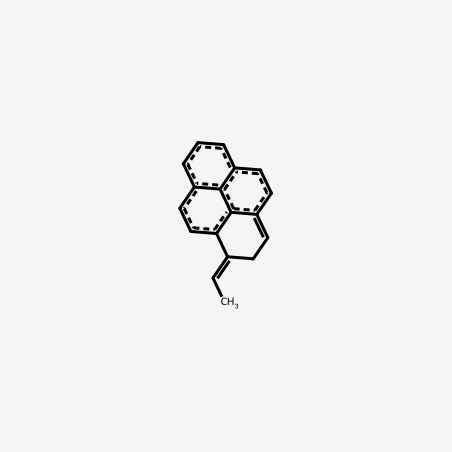 CC=C1CC=c2ccc3cccc4ccc1c2c43